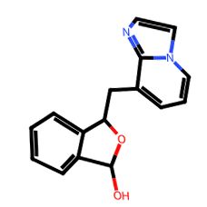 OC1OC(Cc2cccn3ccnc23)c2ccccc21